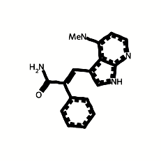 CNc1ccnc2[nH]cc(/C=C(/C(N)=O)c3ccccc3)c12